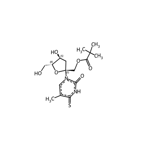 Cc1cn([C@@]2(COC(=O)C(C)(C)C)C[C@H](O)[C@@H](CO)O2)c(=O)[nH]c1=S